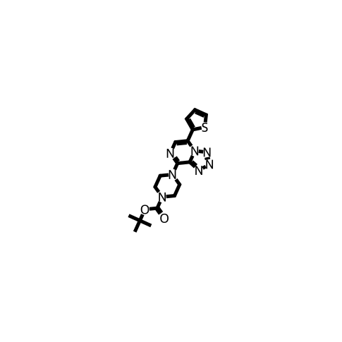 CC(C)(C)OC(=O)N1CCN(c2ncc(-c3cccs3)n3nnnc23)CC1